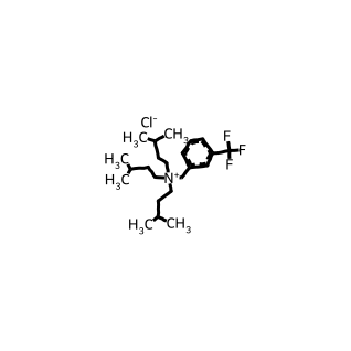 CC(C)CC[N+](CCC(C)C)(CCC(C)C)Cc1cccc(C(F)(F)F)c1.[Cl-]